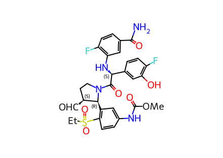 CCS(=O)(=O)c1ccc(NC(=O)OC)cc1[C@H]1[C@@H](C=O)CCN1C(=O)[C@@H](Nc1cc(C(N)=O)ccc1F)c1ccc(F)c(O)c1